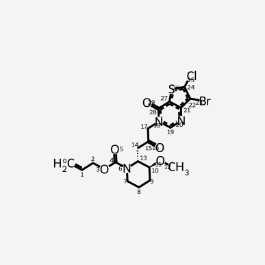 C=CCOC(=O)N1CCC[C@H](OC)[C@H]1CC(=O)Cn1cnc2c(Br)c(Cl)sc2c1=O